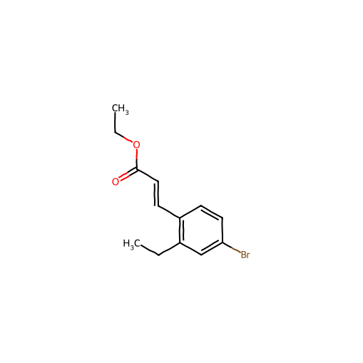 CCOC(=O)/C=C/c1ccc(Br)cc1CC